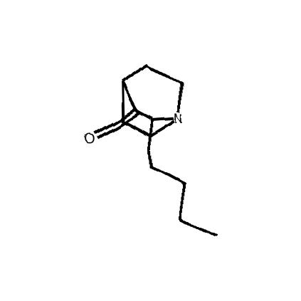 CCCCC1C(=O)C2CCN1CC2